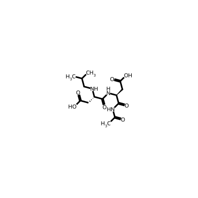 CC(=O)NC(=O)[C@H](CC(=O)O)NC(=O)[C@H](CC(=O)O)NCC(C)C